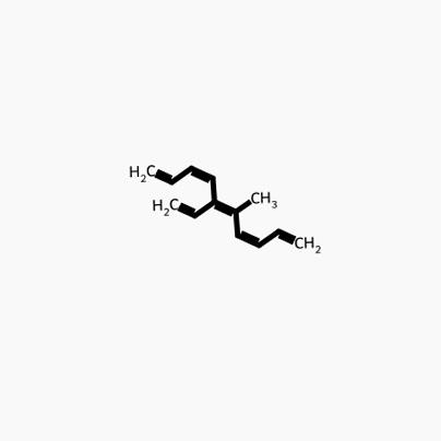 C=C\C=C/C(C)=C(C=C)/C=C\C=C